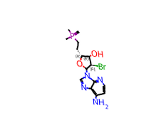 C=P(C)(C)CC[C@H]1OC(n2cnc3c(N)ccnc32)[C@H](Br)[C@@H]1O